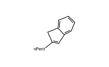 CCCCCC1=Cc2ccccc2[CH]1